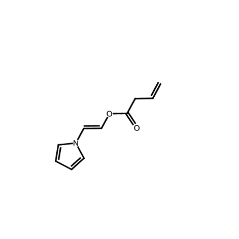 C=CCC(=O)OC=Cn1cccc1